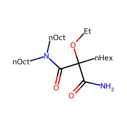 CCCCCCCCN(CCCCCCCC)C(=O)C(CCCCCC)(OCC)C(N)=O